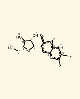 Cc1nc2cc([C@@H]3O[C@H](CO)C(O)[C@@H]3O)c(=S)nc-2[nH]c1F